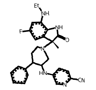 CCNc1cc(F)cc2c1NC(=O)[C@]2(C)N1CCC(c2ccccc2)C(Nc2ccc(C#N)nc2)C1